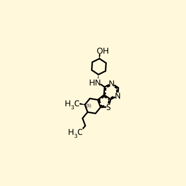 CCCC1Cc2sc3ncnc(N[C@H]4CC[C@H](O)CC4)c3c2C[C@@H]1C